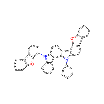 c1ccc(-n2c3ccc4c5ccccc5oc4c3c3ccc4c(c5ccccc5n4-c4cccc5c4oc4ccccc45)c32)cc1